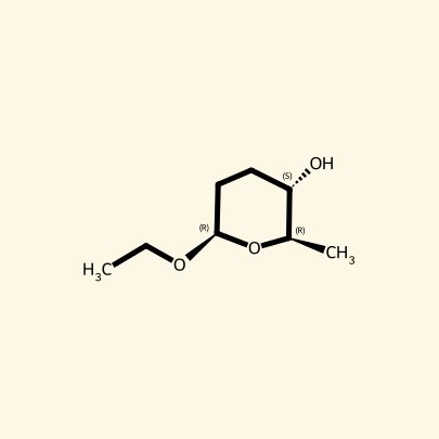 CCO[C@H]1CC[C@H](O)[C@@H](C)O1